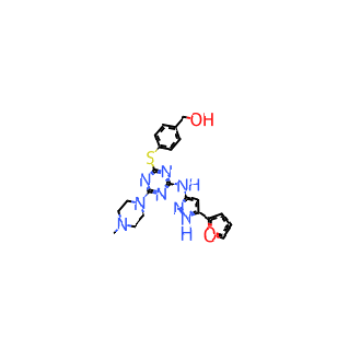 CN1CCN(c2nc(Nc3cc(-c4ccco4)[nH]n3)nc(Sc3ccc(CO)cc3)n2)CC1